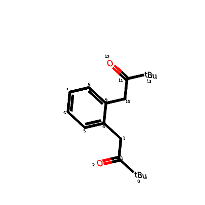 CC(C)(C)C(=O)Cc1ccccc1CC(=O)C(C)(C)C